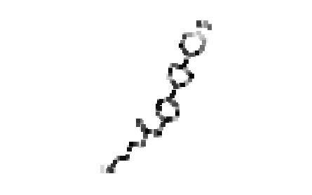 CCCCCC(=O)Oc1ccc(C2CCC(C3CCC(C)CC3)CC2)cc1